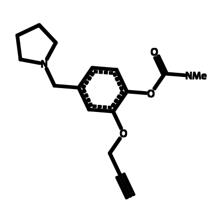 C#CCOc1cc(CN2CCCC2)ccc1OC(=O)NC